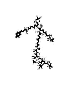 Cc1ccc(CCCC(=O)NCCCCC(NC(=O)C(CCCCNC(=O)OC(C)(C)C)NC(=O)CCCCCCCNC(=O)CCC(NC(=O)NC(CCC(=O)OC(C)(C)C)C(=O)OC(C)(C)C)C(=O)OC(C)(C)C)C(=O)C(=O)OC(C)(C)C)cc1